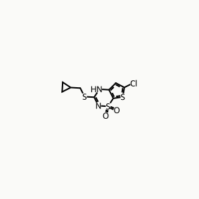 O=S1(=O)N=C(SCC2CC2)Nc2cc(Cl)sc21